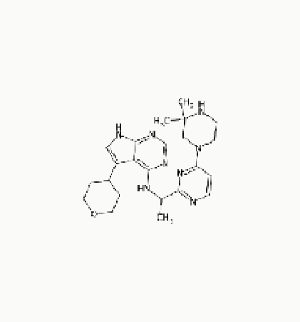 CC(Nc1ncnc2[nH]cc(C3CCOCC3)c12)c1nccc(N2CCNC(C)(C)C2)n1